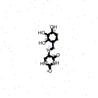 O=c1[nH]cc(/N=C/c2ccc(O)c(O)c2O)c(=O)[nH]1